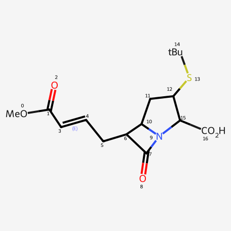 COC(=O)/C=C/CC1C(=O)N2C1CC(SC(C)(C)C)C2C(=O)O